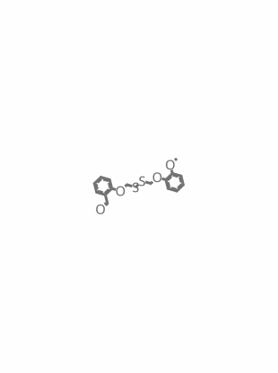 COc1ccccc1OCSSCOc1ccccc1C=O